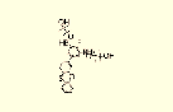 CC(C)(O)C(C)(C)OBc1cc(C2=CC3=C(CC2)Sc2ccccc2O3)cc(BOC(C)(C)C(C)(C)O)c1F